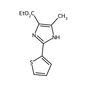 CCOC(=O)c1nc(-c2cccs2)[nH]c1C